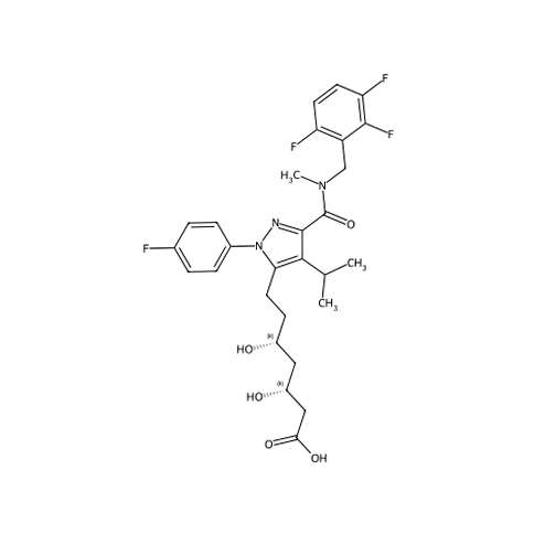 CC(C)c1c(C(=O)N(C)Cc2c(F)ccc(F)c2F)nn(-c2ccc(F)cc2)c1CC[C@@H](O)C[C@@H](O)CC(=O)O